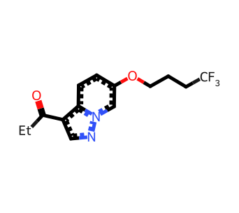 CCC(=O)c1cnn2cc(OCCCC(F)(F)F)ccc12